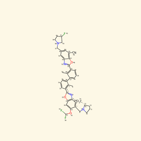 Cc1c(-c2nc3cc(CN4CCC[C@H]4C(=O)O)c(OC(F)F)cc3o2)cccc1-c1cccc(-c2nc3cc(CN4CCC(F)C4)cc(C#N)c3o2)c1C